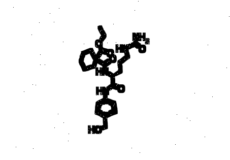 CCOC(=O)C1(C(=O)N[C@@H](CCCNC(N)=O)C(=O)Nc2ccc(CO)cc2)CCCCC1